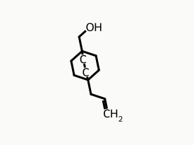 C=CCC12CCC(CO)(CC1)CC2